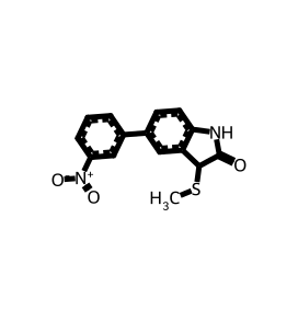 CSC1C(=O)Nc2ccc(-c3cccc([N+](=O)[O-])c3)cc21